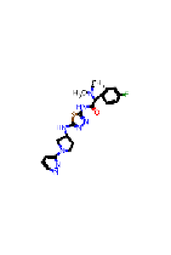 CN(C)C(C(=O)Nc1nnc(NC2CCN(c3cccnn3)C2)s1)c1ccc(F)cc1